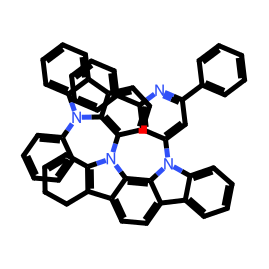 C1=Cc2c(c3ccc4c5ccccc5n(-c5cc(-c6ccccc6)nc(-c6ccccc6)c5)c4c3n2-c2cccc3c4ccccc4n(-c4ccccc4)c23)CC1